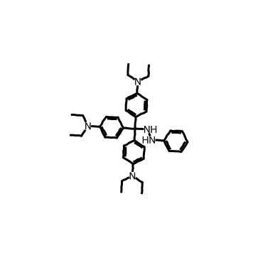 CCN(CC)c1ccc(C(NNc2ccccc2)(c2ccc(N(CC)CC)cc2)c2ccc(N(CC)CC)cc2)cc1